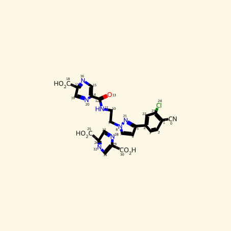 N#Cc1ccc(-c2ccn(CCNC(=O)c3cnc(C(=O)O)cn3)n2)cc1Cl.O=C(O)c1cnc(C(=O)O)cn1